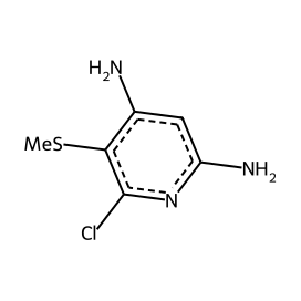 CSc1c(N)cc(N)nc1Cl